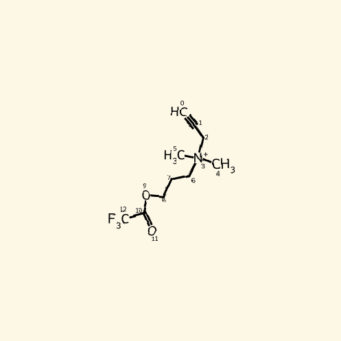 C#CC[N+](C)(C)CCCOC(=O)C(F)(F)F